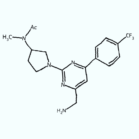 CC(=O)N(C)C1CCN(c2nc(CN)cc(-c3ccc(C(F)(F)F)cc3)n2)C1